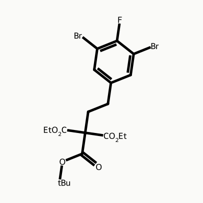 CCOC(=O)C(CCc1cc(Br)c(F)c(Br)c1)(C(=O)OCC)C(=O)OC(C)(C)C